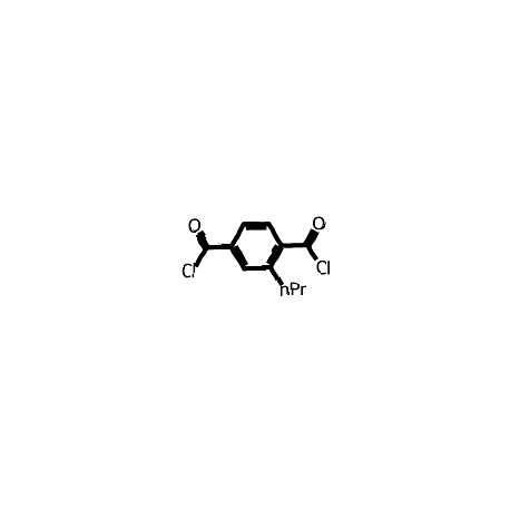 CCCc1cc(C(=O)Cl)ccc1C(=O)Cl